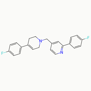 Fc1ccc(C2=CCN(Cc3ccnc(-c4ccc(F)cc4)c3)CC2)cc1